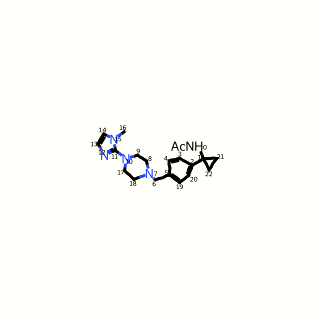 CC(=O)NC1(c2ccc(CN3CCN(c4nccn4C)CC3)cc2)CC1